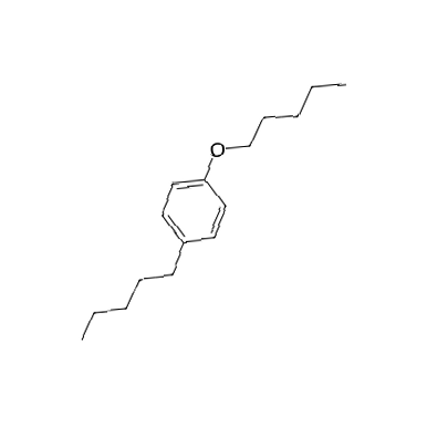 CCCCCOc1ccc(CCCCC)cc1